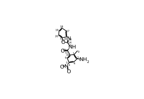 Cc1c(N)cc([N+](=O)[O-])cc1C(=O)Nc1nc2ccccc2o1